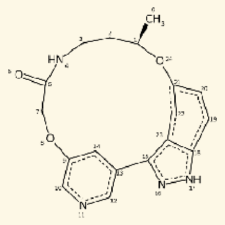 C[C@@H]1CCNC(=O)COc2cncc(c2)-c2n[nH]c3ccc(cc23)O1